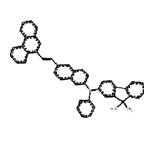 CC1(C)c2ccccc2-c2ccc(N(c3ccccc3)c3ccc4cc(/C=C/c5cc6ccccc6c6ccccc56)ccc4c3)cc21